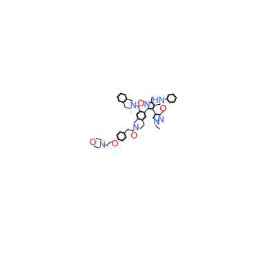 CCn1cc(-c2c(C(=O)Nc3ccccc3)c(C)n(C)c2-c2cc3c(cc2C(=O)N2Cc4ccccc4C[C@H]2C)CN(C(=O)Cc2ccc(OCCN4CCOCC4)cc2)CC3)c(C)n1